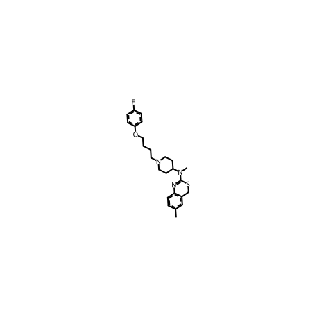 Cc1ccc2c(c1)CSC(N(C)C1CCN(CCCCOc3ccc(F)cc3)CC1)=N2